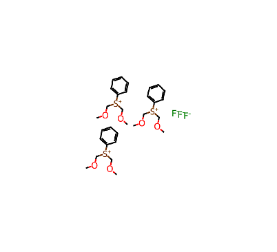 COC[S+](COC)c1ccccc1.COC[S+](COC)c1ccccc1.COC[S+](COC)c1ccccc1.[F-].[F-].[F-]